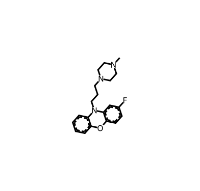 CN1CCN(CCCN2c3ccccc3Oc3ccc(F)cc32)CC1